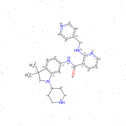 CC1(C)CN(C2CCNCC2)c2cc(NC(=O)c3cccnc3NCc3ccncc3)ccc21